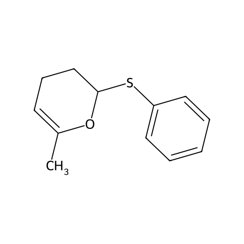 CC1=CCCC(Sc2ccccc2)O1